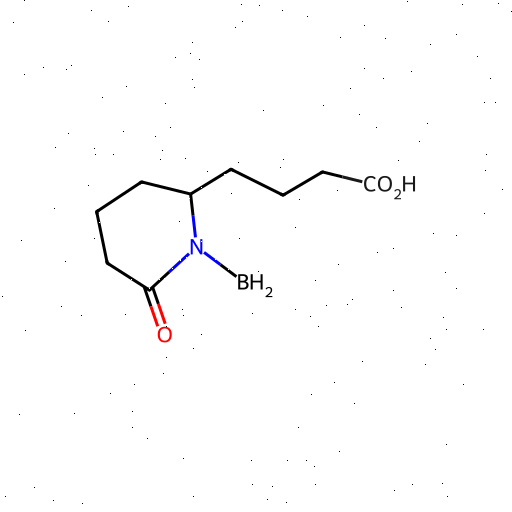 BN1C(=O)CCCC1CCCC(=O)O